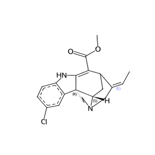 C/C=C1/CN2CC[C@]34C(=C(C(=O)OC)C1C[C@H]23)Nc1ccc(Cl)cc14